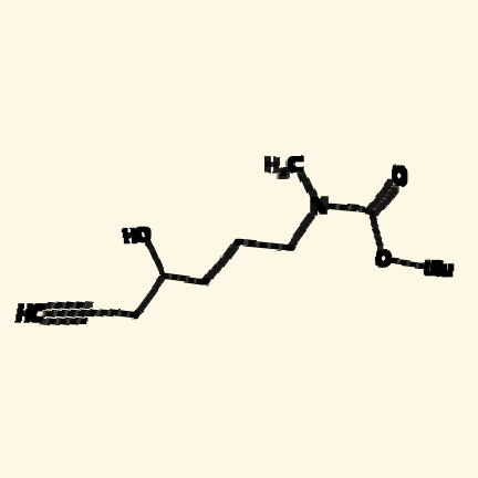 C#CCC(O)CCCN(C)C(=O)OC(C)(C)C